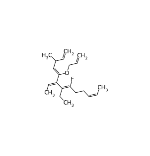 C=CCOC(=CC(C)C=C)C(=C/C)/C(CC)=C(\F)CC/C=C\C